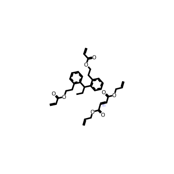 C=CC(=O)OCCc1ccccc1C(CC)c1ccccc1CCOC(=O)C=C.C=CCOC(=O)/C=C/C(=O)OCC=C